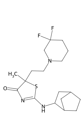 CC1(CCN2CCCC(F)(F)C2)SC(NC2CC3CCC2C3)=NC1=O